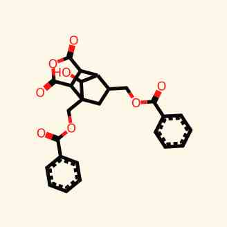 O=C(OCC1CC2(COC(=O)c3ccccc3)C(O)C1C1C(=O)OC(=O)C12)c1ccccc1